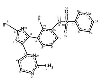 Cc1nccc(-c2sc(C(C)C)nc2-c2cccc(NS(=O)(=O)c3cccnc3)c2F)n1